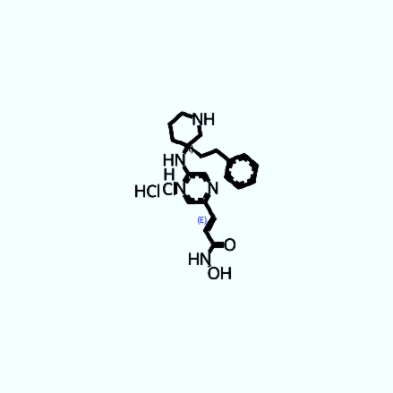 Cl.Cl.O=C(/C=C/c1cnc(N[C@]2(CCc3ccccc3)CCCNC2)cn1)NO